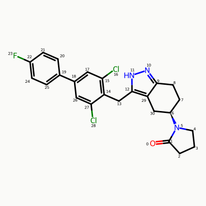 O=C1CCCN1[C@@H]1CCc2n[nH]c(Cc3c(Cl)cc(-c4ccc(F)cc4)cc3Cl)c2C1